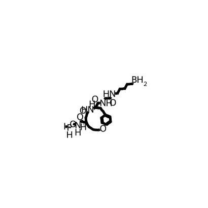 BCCCCCNC(=O)CNC(=O)[C@@H]1Cc2ccc(cc2)OCCC[C@H](C(=O)NOPI)CC(=O)N1